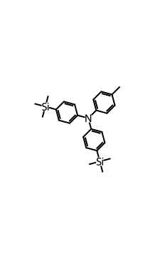 Cc1ccc(N(c2ccc([Si](C)(C)C)cc2)c2ccc([Si](C)(C)C)cc2)cc1